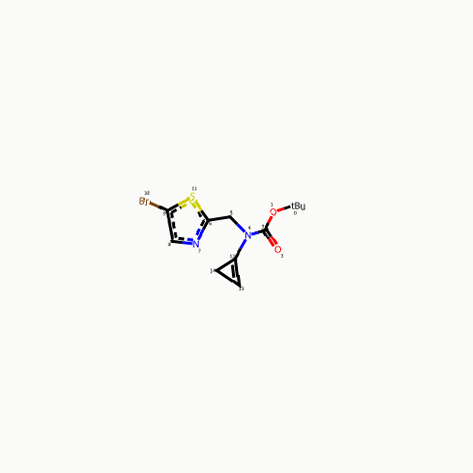 CC(C)(C)OC(=O)N(Cc1ncc(Br)s1)C1=CC1